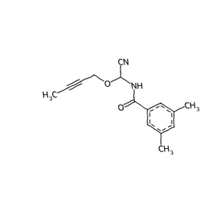 CC#CCOC(C#N)NC(=O)c1cc(C)cc(C)c1